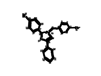 Brc1ccc(Cn2cc(-c3ccccc3)nc2-c2ccc(Br)cc2)cc1